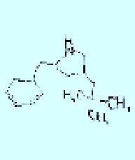 CC(C)(C)CC1CNC(Cc2ccccc2)C1